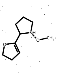 CO[SiH]1CCCC1C1=CCCO1